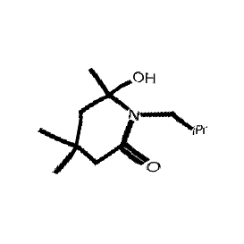 CC(C)CN1C(=O)CC(C)(C)CC1(C)O